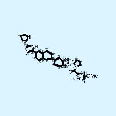 COC(=O)N[C@H](C(=O)N1CCC[C@H]1c1nc2ccc(-c3ccc4cc(-c5cnc([C@@H]6CCCN6)[nH]5)ccc4c3)cc2[nH]1)C(C)C